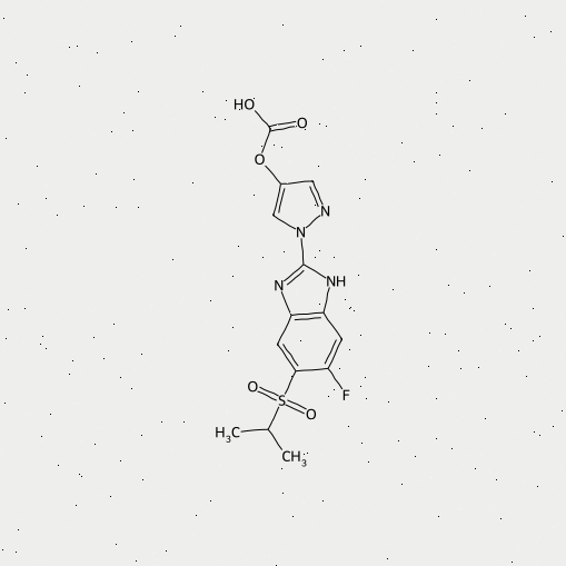 CC(C)S(=O)(=O)c1cc2nc(-n3cc(OC(=O)O)cn3)[nH]c2cc1F